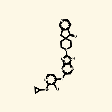 O=C1c2ccncc2CC12CCN(c1nc3nc(Sc4ccnc(NC5CC5)c4Cl)cnc3[nH]1)CC2